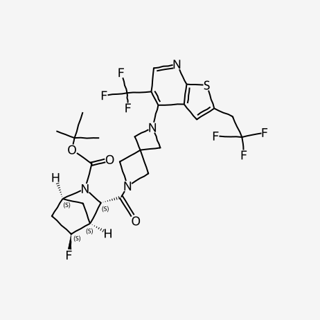 CC(C)(C)OC(=O)N1[C@H]2C[C@@H]([C@H]1C(=O)N1CC3(C1)CN(c1c(C(F)(F)F)cnc4sc(CC(F)(F)F)cc14)C3)[C@@H](F)C2